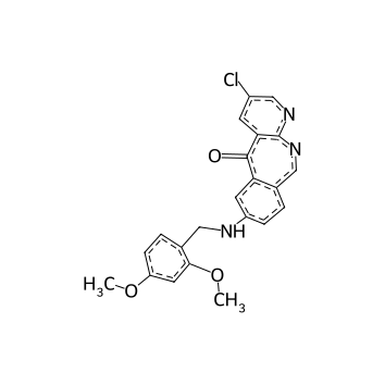 COc1ccc(CNc2ccc3cnc4ncc(Cl)cc4c(=O)c3c2)c(OC)c1